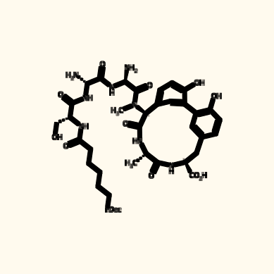 CCCCCCCCCCCCCCCC(=O)N[C@H](CO)C(=O)N[C@H](N)C(=O)N[C@@H](N)C(=O)N(C)[C@@H]1C(=O)N[C@@H](C)C(=O)N[C@H](C(=O)O)Cc2ccc(O)c(c2)-c2cc1ccc2O